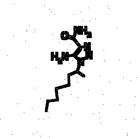 CCCCCCC(C)n1nnc(C(N)=O)c1N